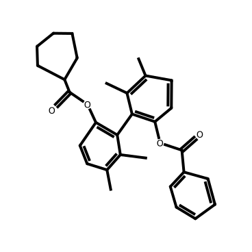 Cc1ccc(OC(=O)c2ccccc2)c(-c2c(OC(=O)C3CCCCC3)ccc(C)c2C)c1C